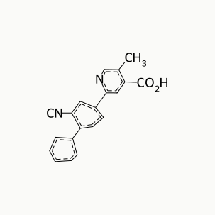 [C-]#[N+]c1cc(-c2cc(C(=O)O)c(C)cn2)ccc1-c1ccccc1